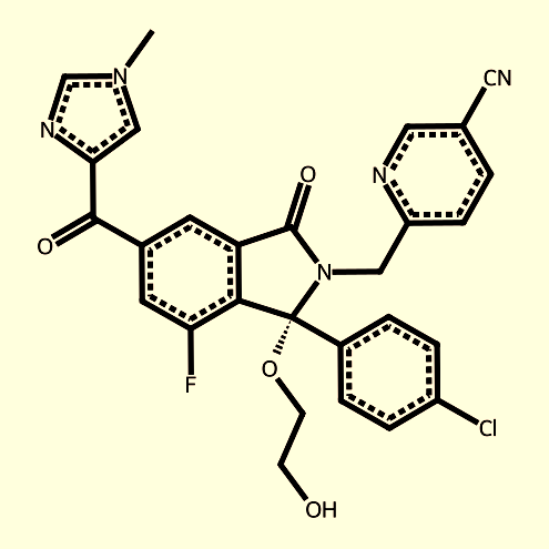 Cn1cnc(C(=O)c2cc(F)c3c(c2)C(=O)N(Cc2ccc(C#N)cn2)[C@@]3(OCCO)c2ccc(Cl)cc2)c1